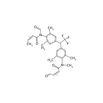 C/C=C\C(=O)N(C=O)c1c(C)cc(C(c2cc(C)c(N(C)C(=O)/C=C\C=O)c(C)c2)C(F)(F)F)cc1C